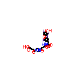 COC(=O)[C@H](Cc1cc(I)c(Oc2cc(I)c(O)c(I)c2)c(I)c1)NC(=O)CCCC(=O)N1CCN(C(=O)CCCC(=O)O)CC1